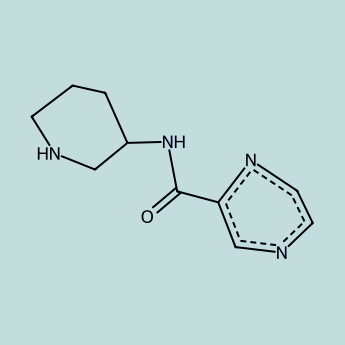 O=C(NC1CCCNC1)c1cnccn1